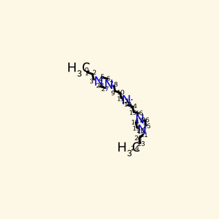 CCCCN1CCN(CCCC[N]CCCCN2CCN(CCCC)CC2)CC1